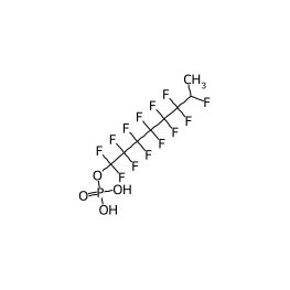 CC(F)C(F)(F)C(F)(F)C(F)(F)C(F)(F)C(F)(F)C(F)(F)OP(=O)(O)O